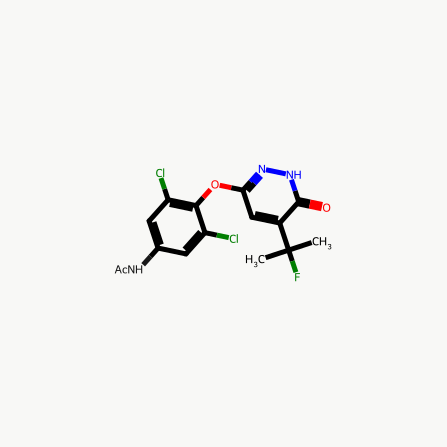 CC(=O)Nc1cc(Cl)c(Oc2cc(C(C)(C)F)c(=O)[nH]n2)c(Cl)c1